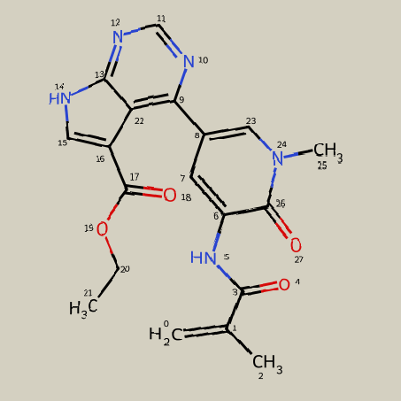 C=C(C)C(=O)Nc1cc(-c2ncnc3[nH]cc(C(=O)OCC)c23)cn(C)c1=O